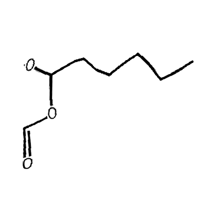 CCCCCC([O])OC=O